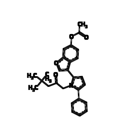 CC(=O)Oc1ccc2c(-c3ccc(-c4ccccc4)n3CC(=O)CC(C)(C)C)coc2c1